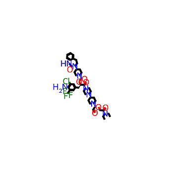 CCN(CC)C(=O)COC(C=O)N1CCC(N2CCN(C(=O)[C@@H](Cc3cc(Cl)c(N)c(C(F)(F)F)c3)OC(=O)N3CCC(N4CCc5ccccc5NC4=O)CC3)CC2)CC1